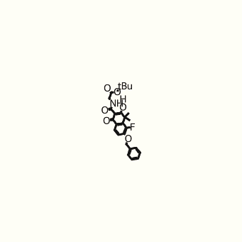 CC(C)(C)OC(=O)CNC(=O)C1=C(O)C(C)(C)c2c(ccc(OCc3ccccc3)c2F)C1=O